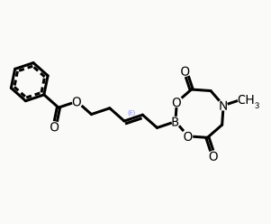 CN1CC(=O)OB(C/C=C/CCOC(=O)c2ccccc2)OC(=O)C1